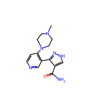 CN1CCN(c2ccncc2-c2n[nH]cc2C(N)=O)CC1